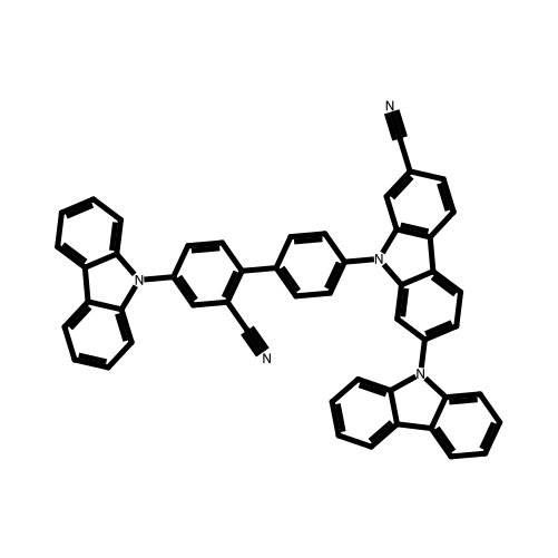 N#Cc1ccc2c3ccc(-n4c5ccccc5c5ccccc54)cc3n(-c3ccc(-c4ccc(-n5c6ccccc6c6ccccc65)cc4C#N)cc3)c2c1